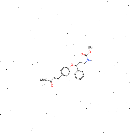 COC(=O)/C=C/c1ccc(OC(CCN(C)C(=O)OC(C)(C)C)c2ccccc2)cc1